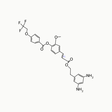 COc1cc(/C=C/C(=O)OCCc2cc(N)cc(N)c2)ccc1OC(=O)c1ccc(OCC(F)(F)F)cc1